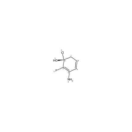 NC1=C(F)[C@](O)(Cl)CC=C1